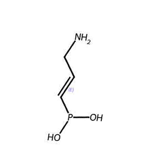 NC/C=C/P(O)O